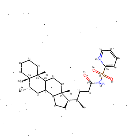 CC[C@H]1CC2C3CC[C@H]([C@H](C)CCC(=O)NS(=O)(=O)c4ccccn4)[C@@]3(C)CCC2[C@@]2(C)CCCC[C@@H]12